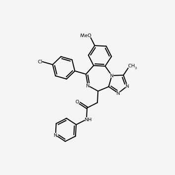 COc1ccc2c(c1)C(c1ccc(Cl)cc1)=NC(CC(=O)Nc1ccncc1)c1nnc(C)n1-2